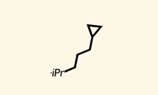 C[C](C)CCCC1CC1